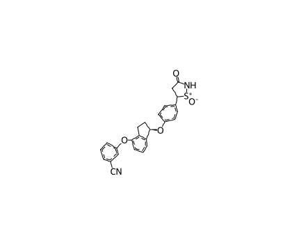 N#Cc1cccc(Oc2cccc3c2CC[C@H]3Oc2ccc(C3CC(=O)N[S+]3[O-])cc2)c1